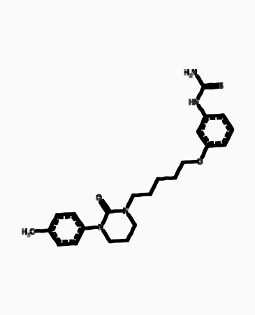 Cc1ccc(N2CCCN(CCCCCOc3cccc(NC(N)=S)c3)C2=O)cc1